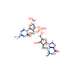 COC1[C@@H](OP(=O)(O)OC[C@H]2O[C@@H](n3cnc4c(=O)[nH]c(C)nc43)C(OC)[C@H]2O)[C@@H](CO)O[C@H]1n1cnc(N)nc1=O